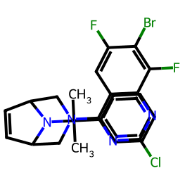 CC(C)(c1ccccc1)N1C2C=CC1CN(c1nc(Cl)nc3c(F)c(Br)c(F)cc13)C2